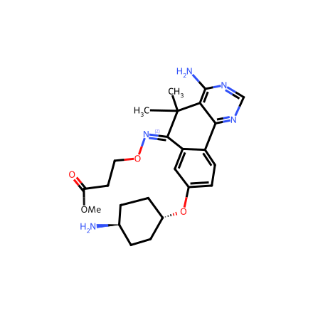 COC(=O)CCO/N=C1\c2cc(O[C@H]3CC[C@H](N)CC3)ccc2-c2ncnc(N)c2C1(C)C